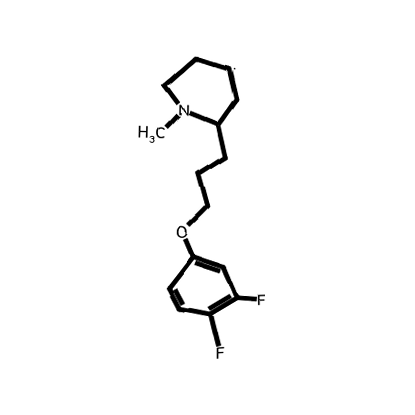 CN1CC[CH]CC1CCCOc1ccc(F)c(F)c1